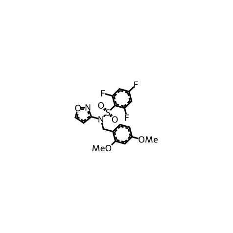 COc1ccc(CN(c2ccon2)S(=O)(=O)c2c(F)cc(F)cc2F)c(OC)c1